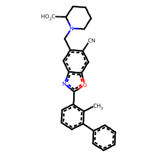 Cc1c(-c2ccccc2)cccc1-c1nc2cc(CN3CCCCC3C(=O)O)c(C#N)cc2o1